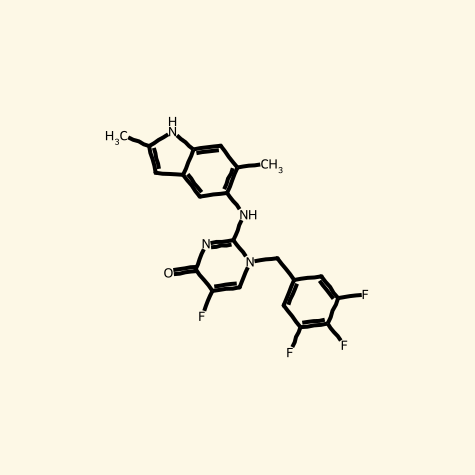 Cc1cc2cc(Nc3nc(=O)c(F)cn3Cc3cc(F)c(F)c(F)c3)c(C)cc2[nH]1